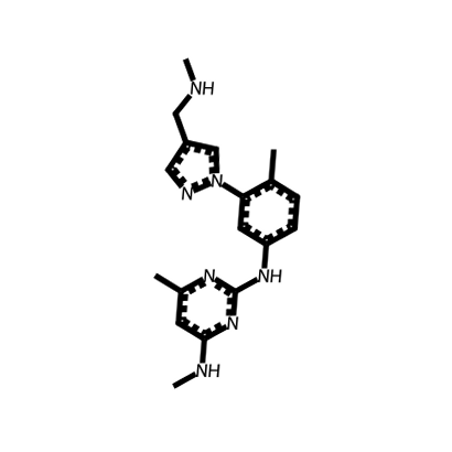 CNCc1cnn(-c2cc(Nc3nc(C)cc(NC)n3)ccc2C)c1